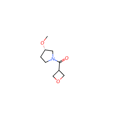 CO[C@H]1CCN(C(=O)C2COC2)C1